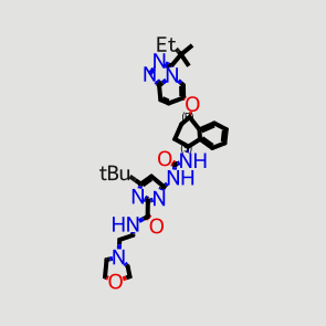 CCC(C)(C)c1nnc2ccc(O[C@@H]3CC[C@H](NC(=O)Nc4cc(C(C)(C)C)nc(C(=O)NCCN5CCOCC5)n4)c4ccccc43)cn12